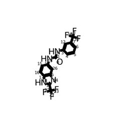 O=C(Nc1cccc(C(F)(F)F)c1)Nc1ccc2[nH]c(C(F)(F)F)nc2c1